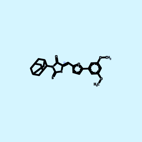 COc1cc(OC)cc(-c2ccc(/C=C3\SC(=S)N(C4C5CC6CC(C5)CC4C6)C3=O)o2)c1